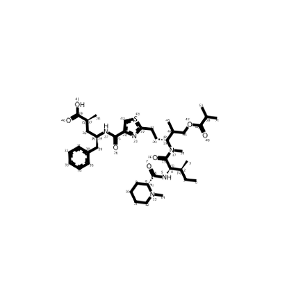 CC[C@H](C)[C@H](NC(=O)[C@H]1CCCCN1C)C(=O)N(C)[C@H](CCc1nc(C(=O)N[C@@H](Cc2ccccc2)C[C@H](C)C(=O)O)cs1)C(C)COC(=O)C(C)C